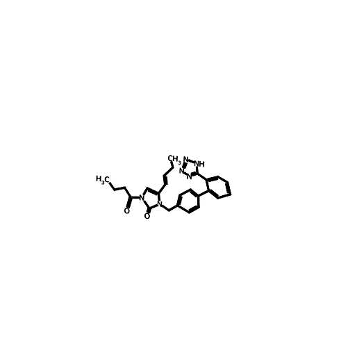 CC/C=C/c1cn(C(=O)CCC)c(=O)n1Cc1ccc(-c2ccccc2-c2nnn[nH]2)cc1